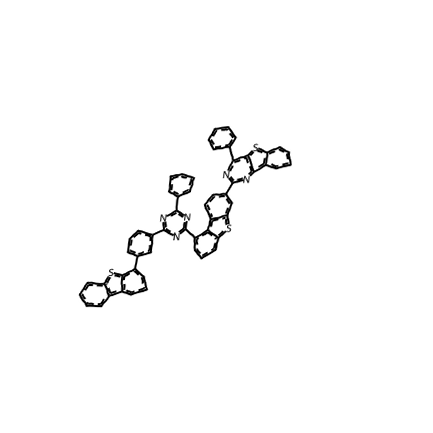 c1ccc(-c2nc(-c3cccc(-c4cccc5c4sc4ccccc45)c3)nc(-c3cccc4sc5cc(-c6nc(-c7ccccc7)c7sc8ccccc8c7n6)ccc5c34)n2)cc1